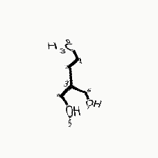 CCC[C](CO)CO